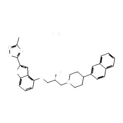 Cc1noc(-c2cc3c(OC[C@@H](O)CN4CCC(c5ccc6ccccc6c5)CC4)cccc3o2)n1.Cl